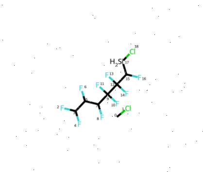 CCl.FC(F)C(F)C(F)C(F)(F)C(F)(F)C(F)[SiH2]Cl